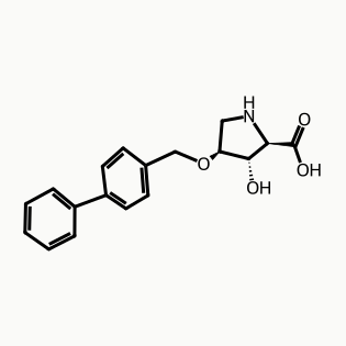 O=C(O)[C@@H]1NC[C@H](OCc2ccc(-c3ccccc3)cc2)[C@H]1O